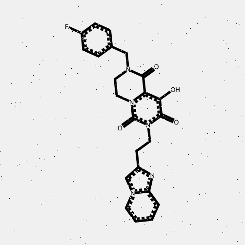 O=C1c2c(O)c(=O)n(CCc3cn4ccccc4n3)c(=O)n2CCN1Cc1ccc(F)cc1